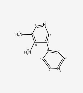 Nc1cncc(-c2ccncc2)c1N